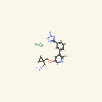 Cl.Cl.NCC1(COc2cnc(Cl)c(-c3cccc(-c4nn[nH]n4)c3)c2)CC1